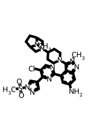 CN1C2CCC1CN(C1CCN(c3c4c(-c5ncc(Cl)c(-c6cnn(S(C)(=O)=O)c6)n5)cc(N)cc4nn3C)CC1)C2